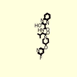 CC(C)[C@H](NC(=O)c1nc2ccccc2nc1O)C(=O)N1CCC(Oc2cncc(F)c2)CC1